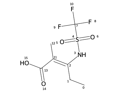 CCC(NS(=O)(=O)C(F)(F)F)=C(C)C(=O)O